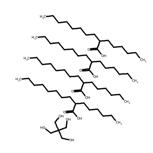 CCCCCCCCC(CCCCCC)C(=O)O.CCCCCCCCC(CCCCCC)C(=O)O.CCCCCCCCC(CCCCCC)C(=O)O.CCCCCCCCC(CCCCCC)C(=O)O.OCC(CO)(CO)CO